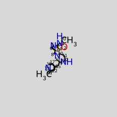 CC(=O)Nc1ncc(CN2CCCNC(Cc3ccnc(C)c3)C2)s1